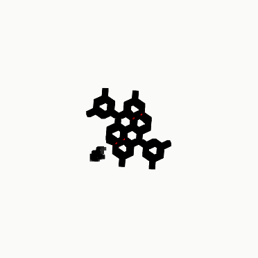 Cc1cc(C)cc(P(c2cc(C)cc(C)c2)c2cccc(C)c2-c2c(C)cccc2P(c2cc(C)cc(C)c2)c2cc(C)cc(C)c2)c1.[Cl-].[Cl-].[Ru+2]